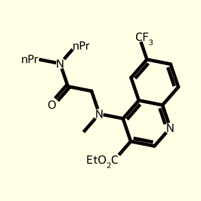 CCCN(CCC)C(=O)CN(C)c1c(C(=O)OCC)cnc2ccc(C(F)(F)F)cc12